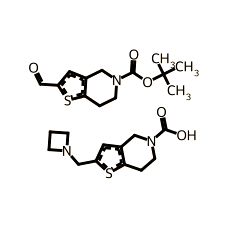 CC(C)(C)OC(=O)N1CCc2sc(C=O)cc2C1.O=C(O)N1CCc2sc(CN3CCC3)cc2C1